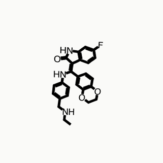 CCNCc1ccc(N/C(=C2\C(=O)Nc3cc(F)ccc32)c2ccc3c(c2)OCCO3)cc1